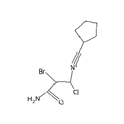 NC(=O)C(Br)C(Cl)[N+]#CC1CCCC1